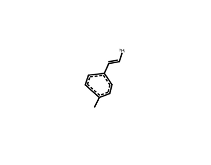 [2H]/C=C/c1ccc(C)cc1